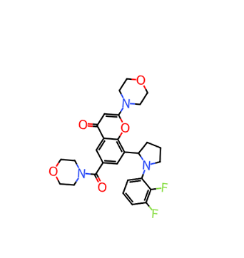 O=C(c1cc(C2CCCN2c2cccc(F)c2F)c2oc(N3CCOCC3)cc(=O)c2c1)N1CCOCC1